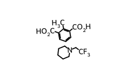 Cc1c(C(=O)O)cccc1C(=O)O.FC(F)(F)CN1CCCCC1